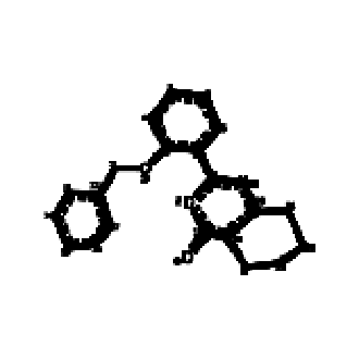 O=c1oc(-c2ccccc2OCc2ccccc2)nc2c1CCCC2